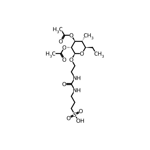 CC[C@H]1O[C@@H](OCCNC(=O)NCCCS(=O)(=O)O)[C@H](OC(C)=O)[C@@H](OC(C)=O)[C@@H]1C